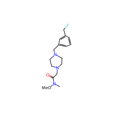 CON(C)C(=O)CN1CCN(Cc2cccc(CF)c2)CC1